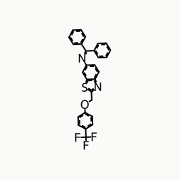 FC(F)(F)c1ccc(OCc2nc3ccc(N=C(c4ccccc4)c4ccccc4)cc3s2)cc1